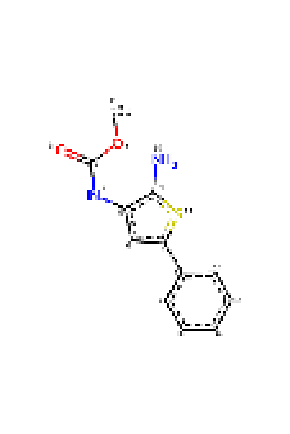 CC(C)(C)OC(=O)Nc1cc(-c2ccccc2)sc1N